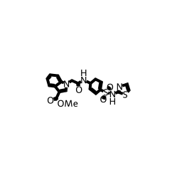 COC(=O)c1cn(CC(=O)NC2C=CC(S(=O)(=O)Nc3nccs3)=CC2)c2ccccc12